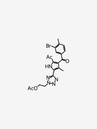 CC(=O)OCCn1nnc(-c2[nH]c(C(C)=O)c(C(=O)c3ccc(C)c(Br)c3)c2C)n1